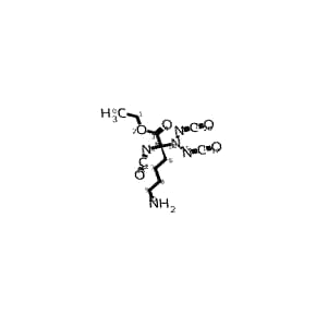 CCOC(=O)[C@@](CCCCN)(N=C=O)N(N=C=O)N=C=O